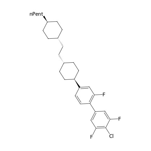 CCCCC[C@H]1CC[C@H](CC[C@H]2CC[C@H](c3ccc(-c4cc(F)c(Cl)c(F)c4)c(F)c3)CC2)CC1